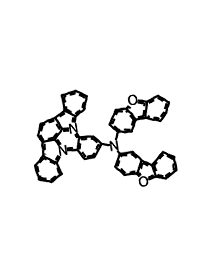 c1ccc2c(c1)oc1ccc(N(c3ccc4oc5ccccc5c4c3)c3ccc4c(c3)n3c5ccccc5c5ccc6c7ccccc7n4c6c53)cc12